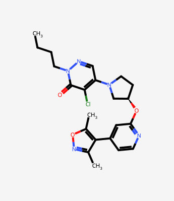 CCCCn1ncc(N2CC[C@@H](Oc3cc(-c4c(C)noc4C)ccn3)C2)c(Cl)c1=O